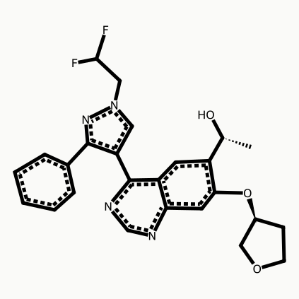 C[C@@H](O)c1cc2c(-c3cn(CC(F)F)nc3-c3ccccc3)ncnc2cc1O[C@H]1CCOC1